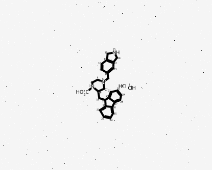 Cl.Cl.O=C(O)N1CCN(Cc2ccc3c(c2)CNC3)CC1CC1c2ccccc2-c2ccccc21